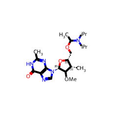 COC1[C@@H](C)[C@@H](COC(C)N(C(C)C)C(C)C)O[C@H]1n1cnc2c(=O)[nH]c(C)nc21